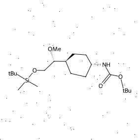 CO[C@@H](CO[Si](C)(C)C(C)(C)C)[C@H]1CC[C@H](NC(=O)OC(C)(C)C)CC1